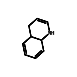 C1=CC2CC=CNC2C=C1